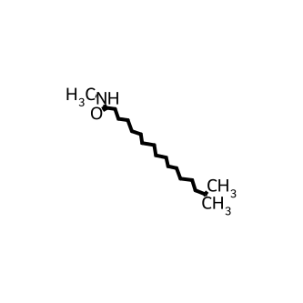 CNC(=O)CCCCCCCCCCCCCCC(C)C